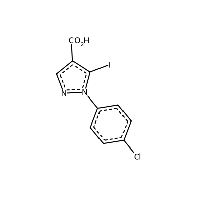 O=C(O)c1cnn(-c2ccc(Cl)cc2)c1I